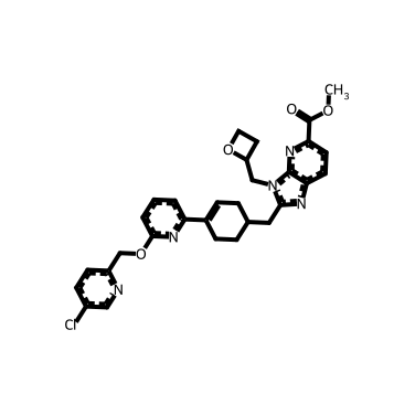 COC(=O)c1ccc2nc(CC3CC=C(c4cccc(OCc5ccc(Cl)cn5)n4)CC3)n(CC3CCO3)c2n1